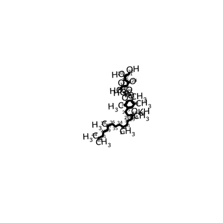 Cc1c(C)c2c(c(C)c1OP(=O)(O)OC1=C(O)O[C@H]([C@@H](O)CO)C1=O)CC[C@@](C)(CCC[C@H](C)CCC[C@H](C)CCCC(C)C)O2.[KH]